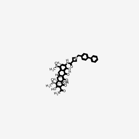 CN(C)c1cc(NC(=O)C2CN(Cc3ccc(-c4ccccc4)cc3)C2)c(O)c2c1C[C@H]1CC3[C@H](N(C)C)C(O)=C(C(N)=O)C(=O)[C@@]3(O)C(O)=C1C2=O